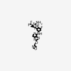 C[C@]1(c2cc(Nc3nccc4nc(OCc5cocn5)cnc34)cc(F)c2F)N=C(N)S[C@@]2(C(F)F)C[C@@H]12